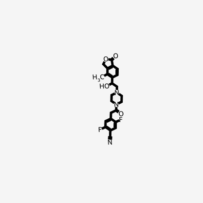 Cc1c(C(O)CN2CCN(C(=O)Cc3cc(F)c(C#N)cc3F)CC2)ccc2c1COC2=O